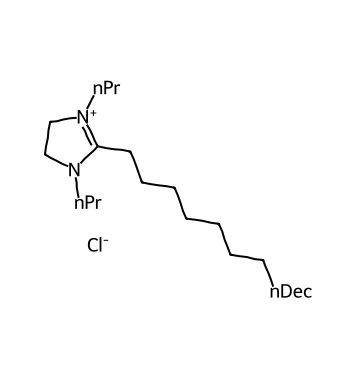 CCCCCCCCCCCCCCCCCC1=[N+](CCC)CCN1CCC.[Cl-]